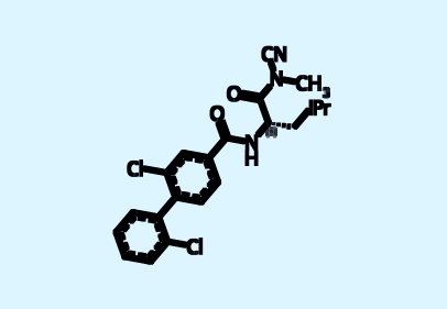 CC(C)C[C@H](NC(=O)c1ccc(-c2ccccc2Cl)c(Cl)c1)C(=O)N(C)C#N